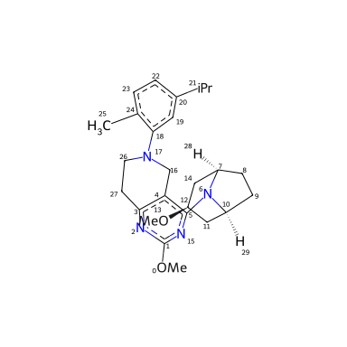 COc1nc2c(c(N3[C@@H]4CC[C@H]3C[C@@H](OC)C4)n1)CN(c1cc(C(C)C)ccc1C)CC2